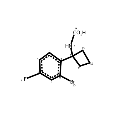 O=C(O)NC1(c2ccc(F)cc2Br)CCC1